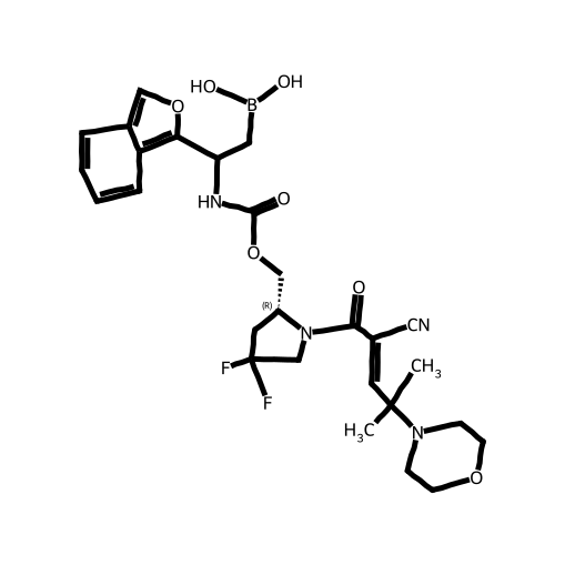 CC(C)(C=C(C#N)C(=O)N1CC(F)(F)C[C@@H]1COC(=O)NC(CB(O)O)c1occ2ccccc12)N1CCOCC1